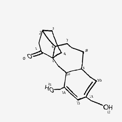 O=C1C2CCC13C2CCC1C=C(O)C=C(O)C13